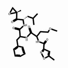 COCCC(NC(=O)c1cc(C)on1)C(=O)NC(Cc1ccccc1)C(=O)N[C@@H](CC(C)C)C(=O)[C@@]1(C)CO1